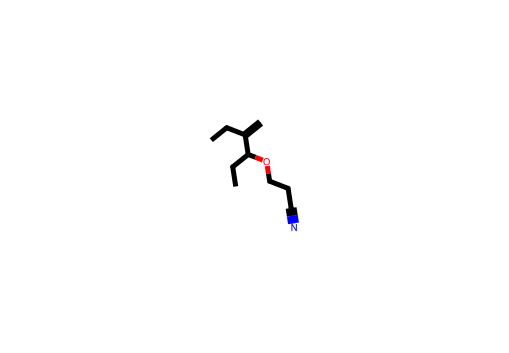 C=C(CC)C(CC)OCCC#N